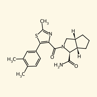 Cc1nc(C(=O)N2C[C@@H]3CCC[C@@H]3[C@H]2C(N)=O)c(-c2ccc(C)c(C)c2)s1